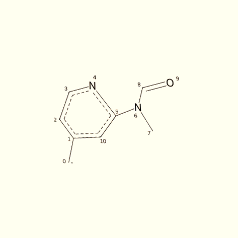 [CH2]c1ccnc(N(C)C=O)c1